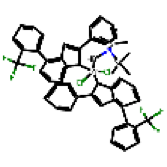 C[Si](C)(C)N([BH][Zr]([Cl])([Cl])([CH]1C(c2ccccc2)=Cc2c(-c3ccccc3C(F)(F)F)cccc21)[CH]1C(c2ccccc2)=Cc2c(-c3ccccc3C(F)(F)F)cccc21)[Si](C)(C)C